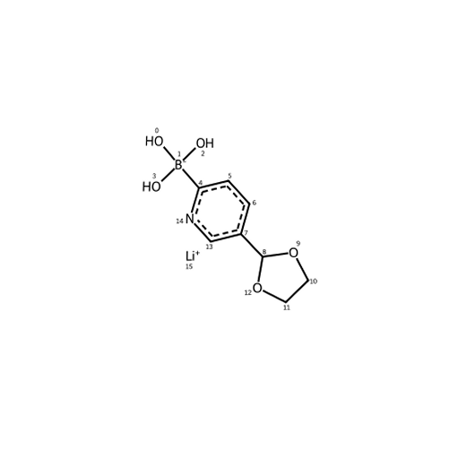 O[B-](O)(O)c1ccc(C2OCCO2)cn1.[Li+]